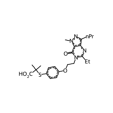 CCCc1nn(C)c2c(=O)n(CCOc3ccc(SC(C)(C)C(=O)O)cc3)c(CC)nc12